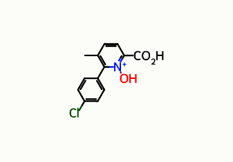 Cc1ccc(C(=O)O)[n+](O)c1-c1ccc(Cl)cc1